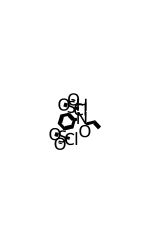 C=CC(=O)Nc1cc(S(=O)(=O)Cl)ccc1S(=O)(=O)Cl